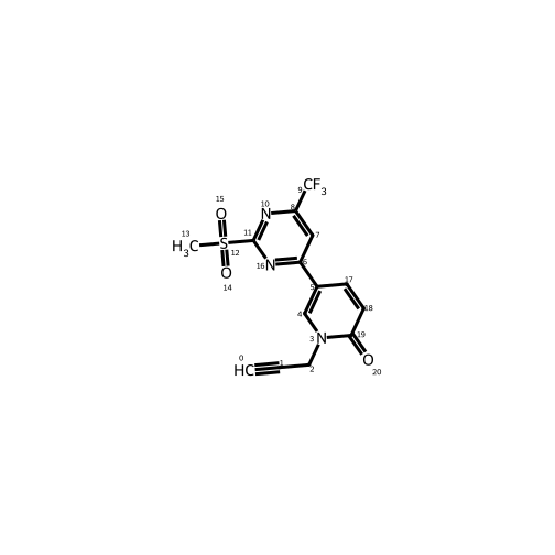 C#CCn1cc(-c2cc(C(F)(F)F)nc(S(C)(=O)=O)n2)ccc1=O